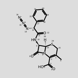 CC1=C(C(=O)O)N2C(=O)[C@@H](NC(=O)[C@H](N=[N+]=[N-])c3ccccc3)[C@H]2SC1